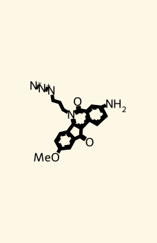 COc1ccc2c(c1)C(=O)c1c-2n(CCCN=[N+]=[N-])c(=O)c2cc(N)ccc12